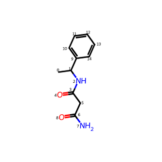 CC(NC(=O)CC(N)=O)c1ccccc1